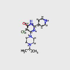 CC(C)N1CCN(c2nc(-c3ccncc3)[nH]c(=O)c2Cl)CC1